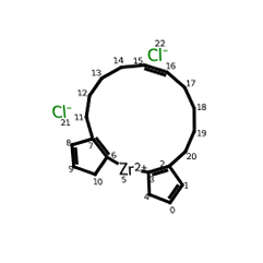 C1=CC2=[C](C1)[Zr+2][C]1=C(C=CC1)CCCC/C=C\CCCC2.[Cl-].[Cl-]